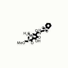 COCCN1CN(C)n2cc(C(=O)NCCS(=O)(=O)c3ccccc3)c(=O)c(O)c2C1=O